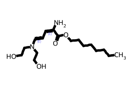 CCCCCCCCOC(=O)/C(N)=C\C=C\N(CCO)CCO